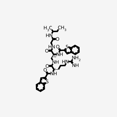 CCC(C)NC(=O)CNC(=O)[C@H](CNC(=O)[C@H](CCCNC(=N)N)NC(=O)c1cc2ccccc2s1)NC(=O)c1cc2ccccc2s1